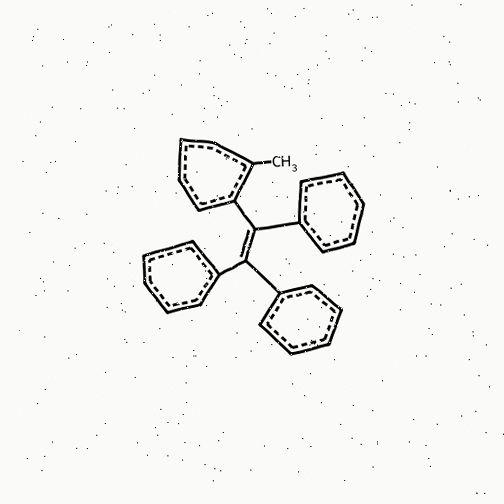 Cc1ccccc1C(=C(c1ccccc1)c1ccccc1)c1ccccc1